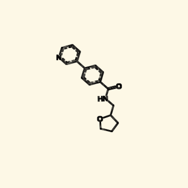 O=C(NCC1CCCO1)c1ccc(-c2cccnc2)cc1